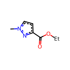 CCOC(=O)c1ccn(C)n1